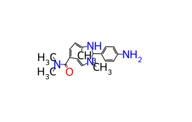 C\C1=C/C=C(C(=O)N(C)C)\C=C\N(C)C(c2ccc(N)cc2)N1